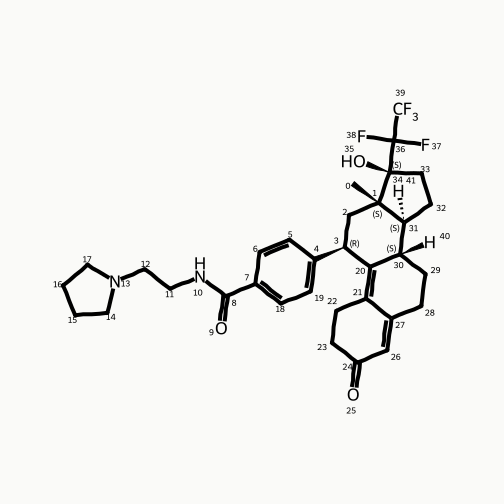 C[C@]12C[C@H](c3ccc(C(=O)NCCN4CCCC4)cc3)C3=C4CCC(=O)C=C4CC[C@H]3[C@@H]1CC[C@@]2(O)C(F)(F)C(F)(F)F